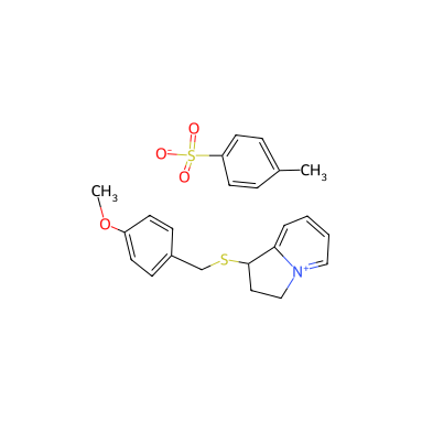 COc1ccc(CSC2CC[n+]3ccccc32)cc1.Cc1ccc(S(=O)(=O)[O-])cc1